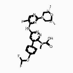 C[C@@H]1CN(c2ncc(F)c(Nc3cc(-c4ccc(OC(F)F)cc4)c(N(C)C(=O)O)nn3)n2)C[C@H](C)O1